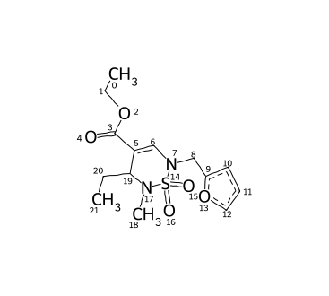 CCOC(=O)C1=CN(Cc2ccco2)S(=O)(=O)N(C)C1CC